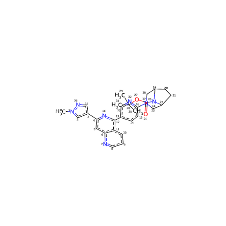 Cn1cc(-c2cc3ncccc3c(-c3ccc(N4CC5CCC(C4)N5C(=O)OC(C)(C)C)nc3)n2)cn1